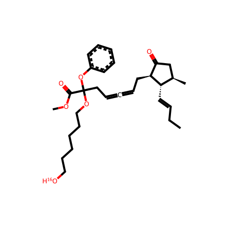 CC/C=C/[C@H]1[C@H](C)CC(=O)[C@@H]1CC=C=CCC(OCCCCCC[16OH])(Oc1ccccc1)C(=O)OC